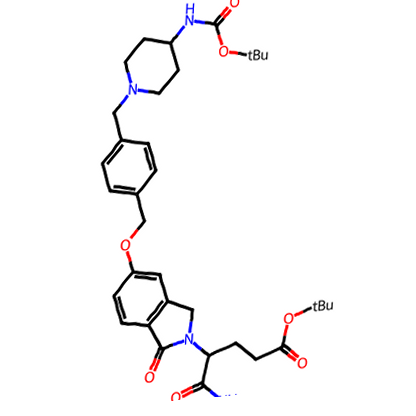 CC(C)(C)OC(=O)CCC(C(N)=O)N1Cc2cc(OCc3ccc(CN4CCC(NC(=O)OC(C)(C)C)CC4)cc3)ccc2C1=O